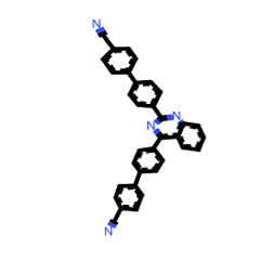 N#Cc1ccc(-c2ccc(-c3nc(-c4ccc(-c5ccc(C#N)cc5)cc4)c4ccccc4n3)cc2)cc1